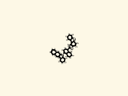 c1ccc2cc3c(cc2c1)c1ccccc1n3-c1ccc(-c2nc3c(ccc4oc5ccccc5c43)o2)c2ccccc12